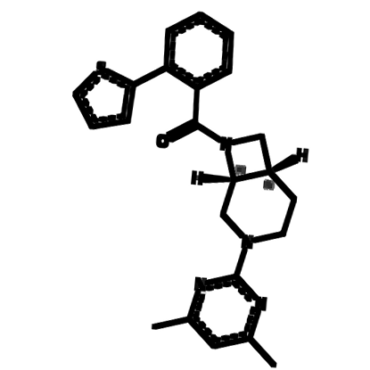 Cc1cc(C)nc(N2CC[C@H]3CN(C(=O)c4ccccc4-c4cccs4)[C@H]3C2)n1